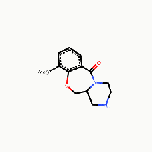 COc1cccc2c1OCC1CNCCN1C2=O